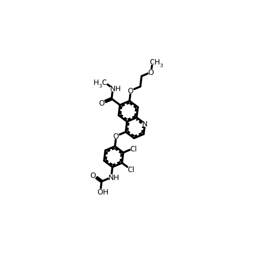 CNC(=O)c1cc2c(Oc3ccc(NC(=O)O)c(Cl)c3Cl)ccnc2cc1OCCOC